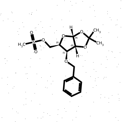 CC1(C)O[C@H]2O[C@H](COS(C)(=O)=O)[C@H](OCc3ccccc3)[C@H]2O1